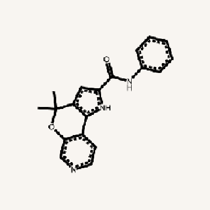 CC1(C)Oc2cnccc2-c2[nH]c(C(=O)Nc3ccccc3)cc21